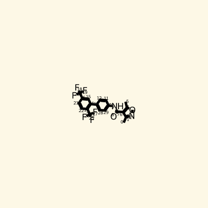 Cc1noc(C)c1C(=O)Nc1ccc(-c2cc(C(F)(F)F)ccc2C(F)(F)F)cc1